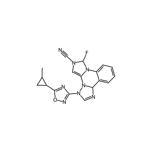 CC1CC1c1nc(N2C=NC3c4ccccc4N4C(=CN(C#N)C4F)N32)no1